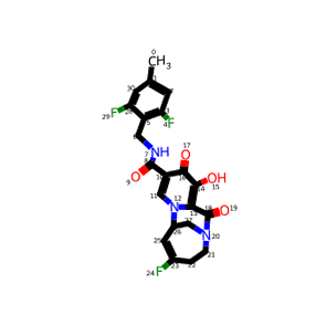 Cc1cc(F)c(CNC(=O)c2cn3c(c(O)c2=O)C(=O)N2CCC(F)=CC3C2)c(F)c1